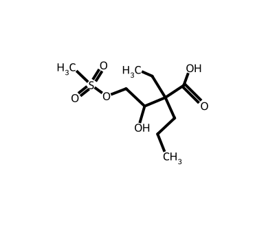 CCCC(CC)(C(=O)O)C(O)COS(C)(=O)=O